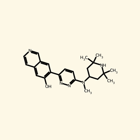 CN(c1ccc(-c2cc3cnccc3cc2O)nn1)C1CC(C)(C)NC(C)(C)C1